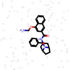 NCOc1cc(C(=O)NC2CC3CCC(C2)N3Cc2ccccc2)cc2ccccc12